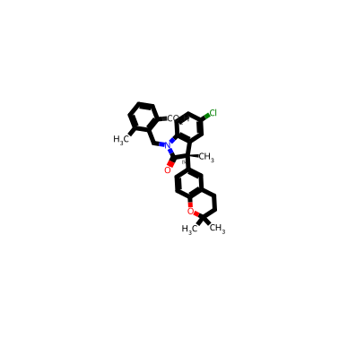 Cc1cccc(C(=O)O)c1CN1C(=O)[C@@](C)(c2ccc3c(c2)CCC(C)(C)O3)c2cc(Cl)ccc21